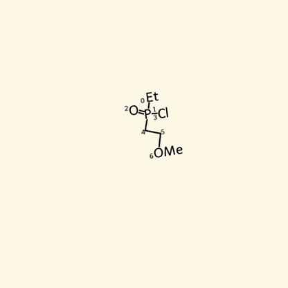 CCP(=O)(Cl)CCOC